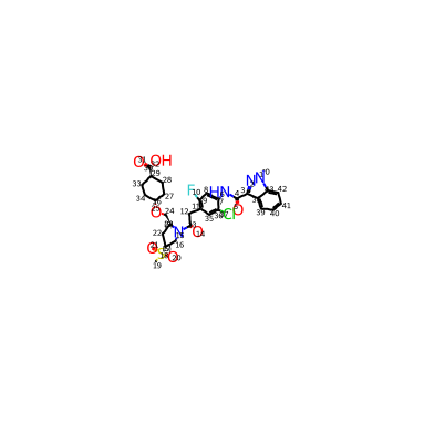 Cn1nc(C(=O)Nc2cc(F)c(CC(=O)N3C[C@@H](S(C)(=O)=O)C[C@H]3CO[C@H]3CC[C@H](C(=O)O)CC3)cc2Cl)c2ccccc21